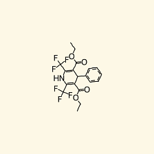 CCOC(=O)C1=C(C(F)(F)F)NC(C(F)(F)F)=C(C(=O)OCC)C1c1ccccc1